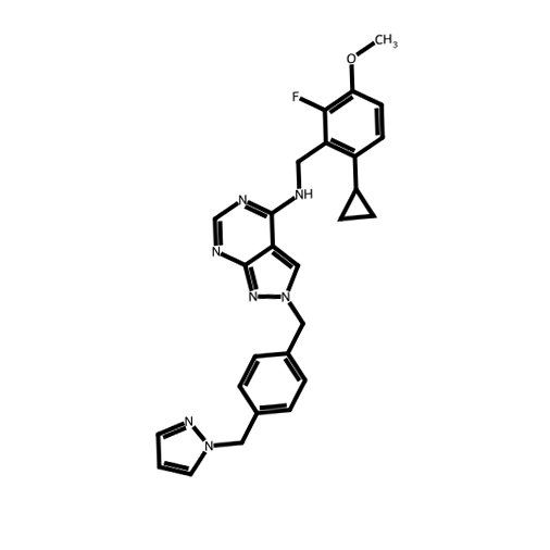 COc1ccc(C2CC2)c(CNc2ncnc3nn(Cc4ccc(Cn5cccn5)cc4)cc23)c1F